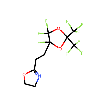 FC(F)(F)C1(C(F)(F)F)OC(F)(F)C(F)(CCC2=NCCO2)O1